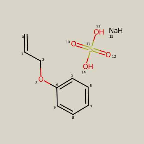 C=CCOc1ccccc1.O=S(=O)(O)O.[NaH]